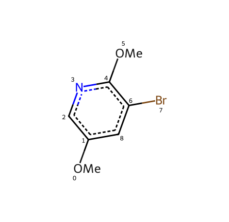 COc1cnc(OC)c(Br)c1